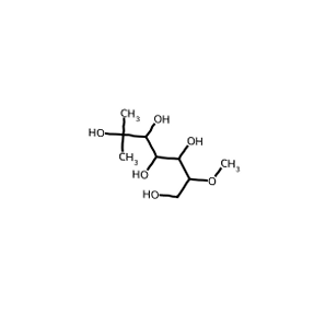 COC(CO)C(O)C(O)C(O)C(C)(C)O